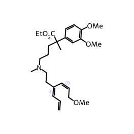 C=C/C=C(\C=C/COC)CCN(C)CCCC(C)(C(=O)OCC)c1ccc(OC)c(OC)c1